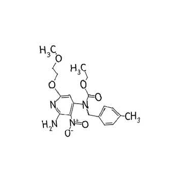 CCOC(=O)N(Cc1ccc(C)cc1)c1cc(OCCOC)nc(N)c1[N+](=O)[O-]